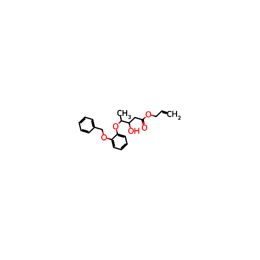 C=CCOC(=O)CC(O)C(C)Oc1ccccc1OCc1ccccc1